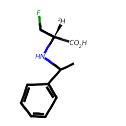 [2H][C@](CF)(NC(C)c1ccccc1)C(=O)O